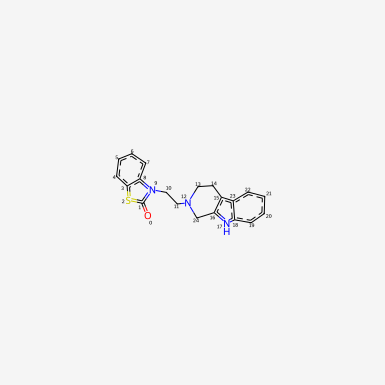 O=c1sc2ccccc2n1CCN1CCc2c([nH]c3ccccc23)C1